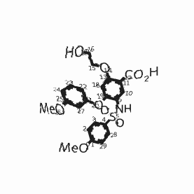 COc1ccc(S(=O)(=O)Nc2cc(C(=O)O)c(OCCO)cc2Oc2cccc(OC)c2)cc1